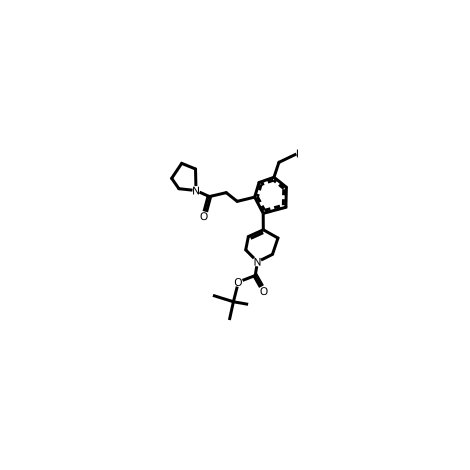 CC(C)(C)OC(=O)N1CC=C(c2ccc(CI)cc2CCC(=O)N2CCCC2)CC1